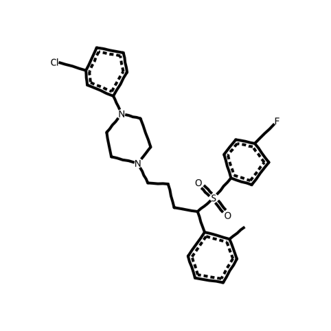 Cc1ccccc1C(CCCN1CCN(c2cccc(Cl)c2)CC1)S(=O)(=O)c1ccc(F)cc1